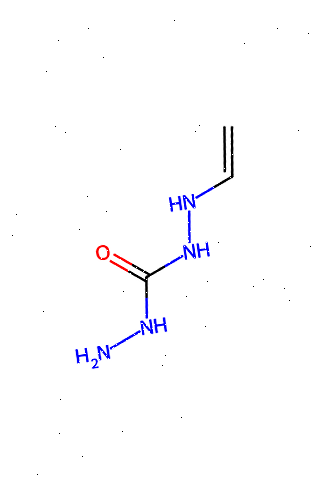 C=CNNC(=O)NN